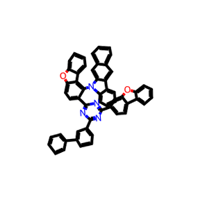 c1ccc(-c2cccc(-c3nc(-c4ccc5c(c4)oc4ccccc45)nc(-c4ccc5oc6ccccc6c5c4-n4c5ccccc5c5cc6ccccc6cc54)n3)c2)cc1